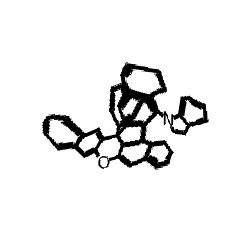 c1ccc(C23c4cc5ccccc5cc4Oc4cc5ccccc5c(c42)-c2c3cc3ccccc3c2-n2ccc3ccccc32)cc1